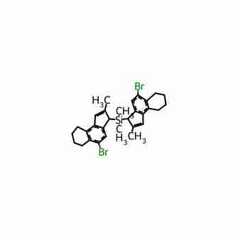 CC1=Cc2c(cc(Br)c3c2CCCC3)C1[Si](C)(C)C1C(C)=Cc2c1cc(Br)c1c2CCCC1